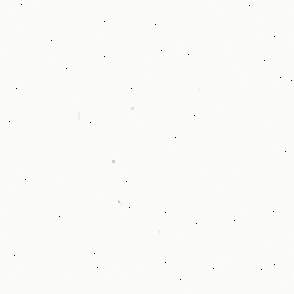 Cn1nc(C(C)(C)C)c(Cl)c1-c1nc2cc(-c3ccccc3Cl)nc(OCCN3CCOCC3)c2[nH]1